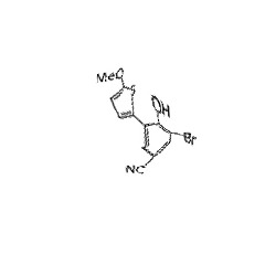 COc1ccc(-c2cc(C#N)cc(Br)c2O)s1